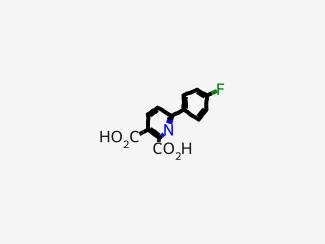 O=C(O)c1ccc(-c2ccc(F)cc2)nc1C(=O)O